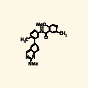 CNc1ncc2cc(-c3cc(NC(=O)c4cc(C)ccc4OC)ccc3C)ccc2n1